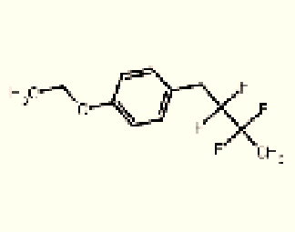 CCOc1ccc(CC(F)(F)C(C)(F)F)cc1